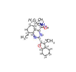 Cc1c(-c2nc(C(N)=O)c3c(C(C)(C)C)ccc(C)c3n2)oc2ccccc12